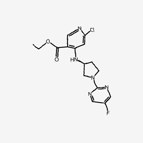 CCOC(=O)c1cnc(Cl)cc1NC1CCN(c2ncc(F)cn2)C1